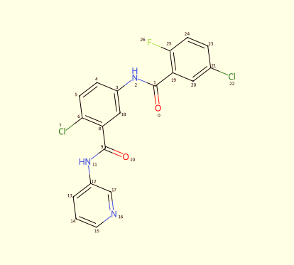 O=C(Nc1ccc(Cl)c(C(=O)Nc2cccnc2)c1)c1cc(Cl)ccc1F